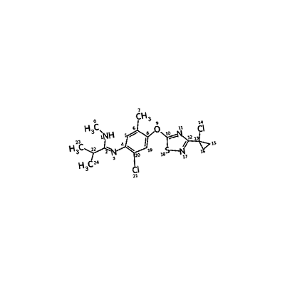 CNC(=Nc1cc(C)c(Oc2nc(C3(Cl)CC3)ns2)cc1Cl)C(C)C